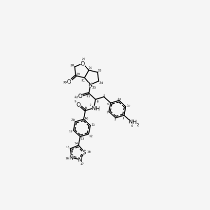 Nc1ccc(CC(NC(=O)c2ccc(-c3cnns3)cc2)C(=O)N2CCC3OCC(=O)C32)cc1